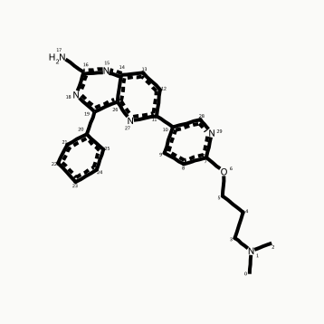 CN(C)CCCOc1ccc(-c2ccc3nc(N)nc(-c4ccccc4)c3n2)cn1